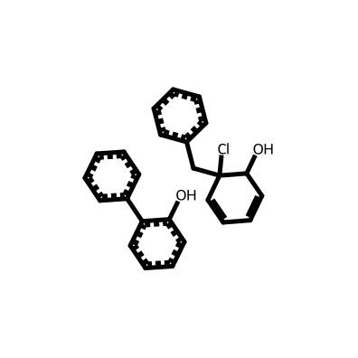 OC1C=CC=CC1(Cl)Cc1ccccc1.Oc1ccccc1-c1ccccc1